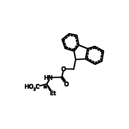 CC[C@H](NC(=O)OCC1c2ccccc2-c2ccccc21)C(=O)O